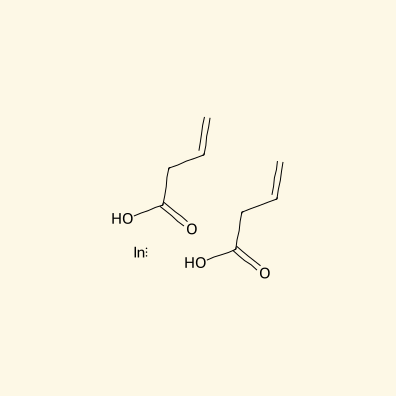 C=CCC(=O)O.C=CCC(=O)O.[In]